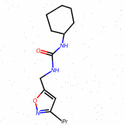 CC(C)c1cc(CNC(=O)NC2CCCCC2)on1